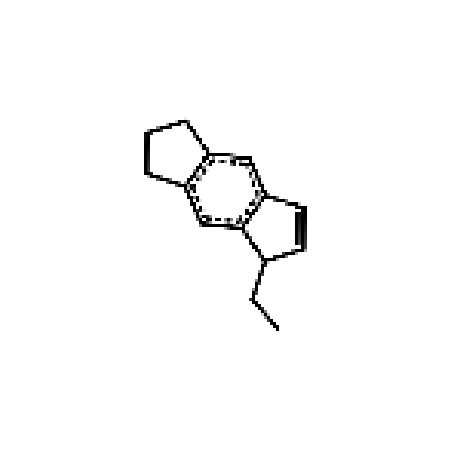 CC[C]1C=Cc2cc3c(cc21)CCC3